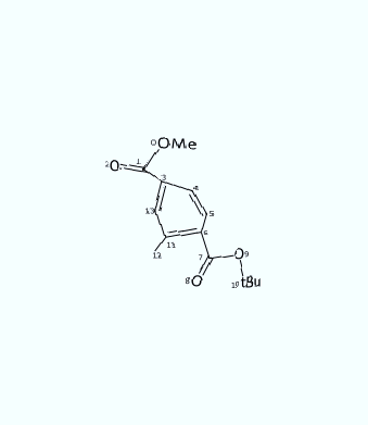 COC(=O)c1ccc(C(=O)OC(C)(C)C)c(C)c1